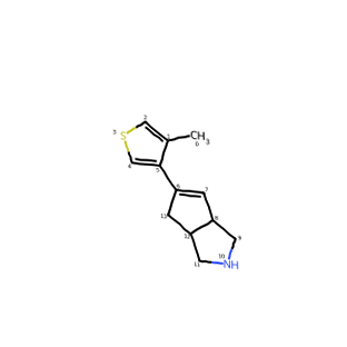 Cc1cscc1C1=CC2CNCC2C1